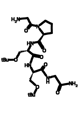 CC(C)(C)OC[C@H](NC(=O)[C@H](COC(C)(C)C)NC(=O)[C@@H]1CCCN1C(=O)CN)C(=O)NCC(N)=O